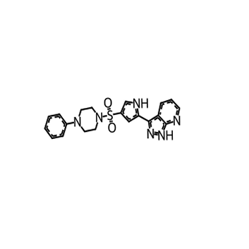 O=S(=O)(c1c[nH]c(-c2n[nH]c3ncccc23)c1)N1CCN(c2ccccc2)CC1